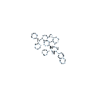 c1ccc(-c2nc(-c3ccc4ccccc4c3)nc(-c3cccc4c3-c3cccc5c(N(c6ccccc6)c6ccccc6)ccc(c35)O4)n2)cc1